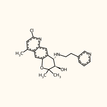 Cc1cc(Cl)nc2cc3c(cc12)OC(C)(C)[C@H](O)[C@H]3NCCc1cccnc1